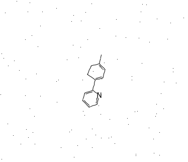 CC1=CC=C(c2ccccn2)CC1